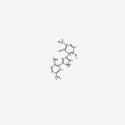 Cc1ccc(O)c(-c2cc(-c3c(F)ccc(C)c3F)n[nH]2)c1